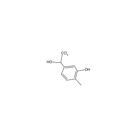 Cc1ccc(C(O)C(Cl)(Cl)Cl)cc1O